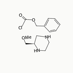 COC[C@H]1CNCCN1.O=C(Cl)OCc1ccccc1